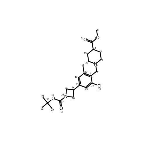 COC(=O)C1CCN(Cc2c(C)cc(C3CN(C(=O)OC(C)(C)C)C3)cc2Cl)CC1